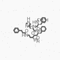 CC(C)[C@@H](CCNC(=O)CCc1ccccc1)C[C@H](O)[C@H](CC1CCCCC1)NC(=O)[C@H](Cc1c[nH]cn1)NC(=O)[C@H](Cc1ccccc1)NC(=O)O